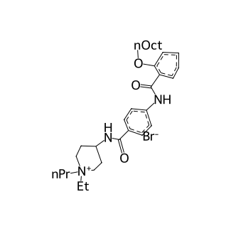 CCCCCCCCOc1ccccc1C(=O)Nc1ccc(C(=O)NC2CC[N+](CC)(CCC)CC2)cc1.[Br-]